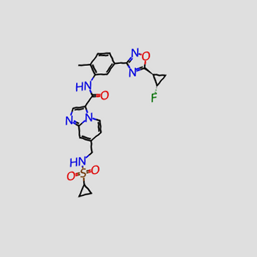 Cc1ccc(-c2noc([C@H]3C[C@@H]3F)n2)cc1NC(=O)c1cnc2cc(CNS(=O)(=O)C3CC3)ccn12